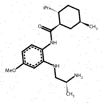 COc1ccc(NC(=O)[C@@H]2C[C@H](C)CC[C@H]2C(C)C)c(NC[C@@H](C)N)c1